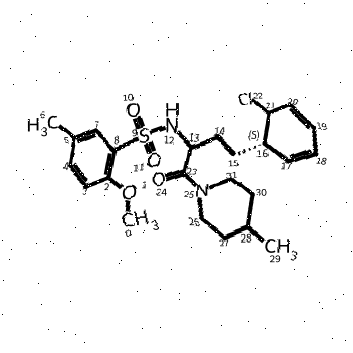 COc1ccc(C)cc1S(=O)(=O)NC(CC[C@H]1C=CC=CC1Cl)C(=O)N1CCC(C)CC1